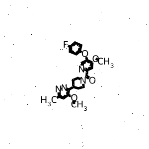 COc1cc(C(=O)N2CCC(c3nnc(C)cc3OC)CC2)ncc1Oc1ccc(F)cc1